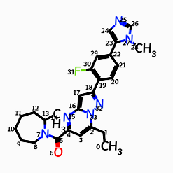 CCc1cc(C(=O)N2CCCCCC2C)nc2cc(-c3ccc(-c4cncn4C)cc3F)nn12